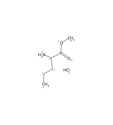 CCCC(N)C(=O)OC.Cl